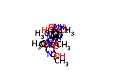 CCC1(O)CC2CN(CCc3c([nH]c4ccccc34)[C@@](C(=O)OC)(c3cc4c(cc3OC)N(C)[C@H]3C(O)(C(N)=O)[C@H](O)[C@]5(CC)C=CCN6CC[C@]43[C@@H]65)C2)C1